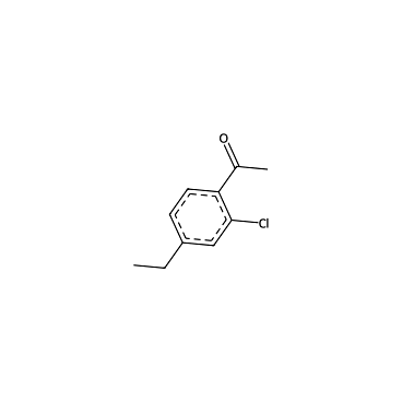 CCc1ccc(C(C)=O)c(Cl)c1